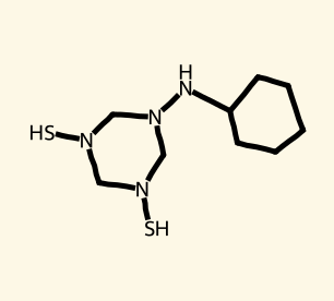 SN1CN(S)CN(NC2CCCCC2)C1